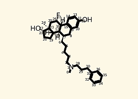 CN(CCCCC[C@@H]1Cc2cc(O)ccc2[C@@H]2[C@@H]1[C@@H]1CC[C@H](O)[C@@]1(C)C[C@@H]2F)CCCc1ccccc1